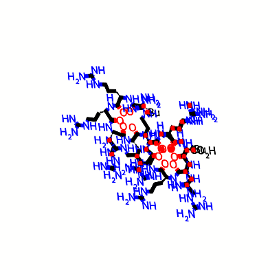 CC[C@H](C)[C@H](N)C(=O)N[C@@H](CCCNC(=N)N)C(=O)N[C@@H](CCCNC(=N)N)C(=O)N[C@@H](CCCNC(=N)N)C(=O)N[C@@H](CCCNC(=N)N)C(=O)N[C@@H](CCCNC(=N)N)C(=O)N[C@@H](CCCNC(=N)N)C(=O)N[C@H](C(=O)N[C@@H](CCCNC(=N)N)C(=O)N[C@@H](CCCNC(=N)N)C(=O)N[C@@H](CCCNC(=N)N)C(=O)N[C@@H](CCCNC(=N)N)C(=O)N[C@@H](CCCNC(=N)N)C(=O)N[C@@H](CCCNC(=N)N)C(=O)O)[C@@H](C)CC